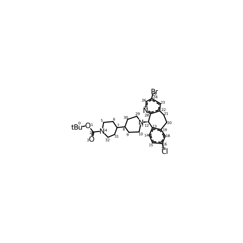 CC(C)(C)OC(=O)N1CCC(C2CCN([C@@H]3c4ccc(Cl)cc4CCc4cc(Br)cnc43)CC2)CC1